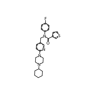 O=C(c1ccsc1)N(Cc1ccc(N2CCN(C3CCCCC3)CC2)nc1)c1ccc(F)cc1